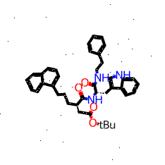 CC(C)(C)OC(=O)C[C@@H](CCCc1cccc2ccccc12)C(=O)N[C@@H](Cc1c[nH]c2ccccc12)C(=O)NCCc1ccccc1